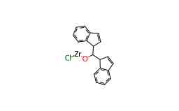 [Cl][Zr][O]C(C1C=Cc2ccccc21)C1C=Cc2ccccc21